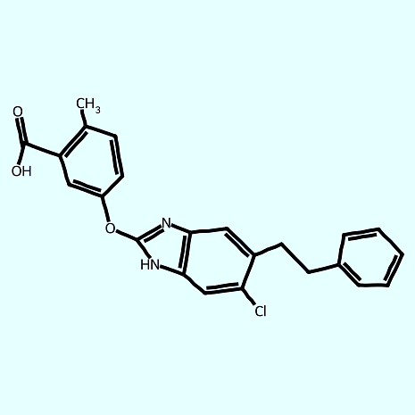 Cc1ccc(Oc2nc3cc(CCc4ccccc4)c(Cl)cc3[nH]2)cc1C(=O)O